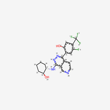 Oc1cc(C(F)(F)F)c(F)cc1-c1nnc(N[C@H]2CCCC[C@@H]2O)c2cnccc12